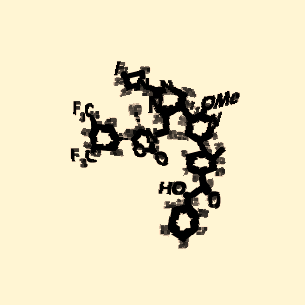 COc1ncc(-c2ccc(C(=O)C(O)c3ccccc3)cc2C)cc1-c1cnc(N2CC(F)C2)nc1CN1C(=O)O[C@H](c2cc(C(F)(F)F)cc(C(F)(F)F)c2)[C@@H]1C